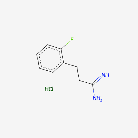 Cl.N=C(N)CCc1ccccc1F